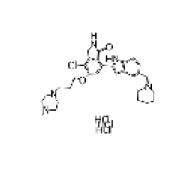 CN1CCN(CCCOc2cc(-c3cc4cc(CN5CCCCC5)ccc4[nH]3)c3c(c2Cl)CNC3=O)CC1.Cl.Cl.Cl